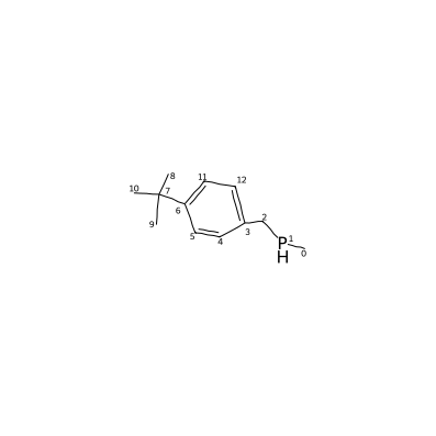 CPCc1ccc(C(C)(C)C)cc1